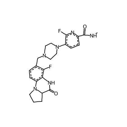 CNC(=O)c1ccc(N2CCN(Cc3ccc4c(c3F)NC(=O)C3CCCN43)CC2)c(F)n1